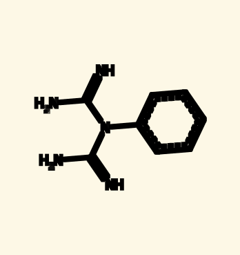 N=C(N)N(C(=N)N)c1ccccc1